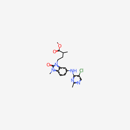 COC(=O)C(C)CCn1c(=O)n(C)c2ccc(Nc3nc(C)ncc3Cl)cc21